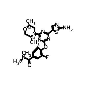 C[C@H]1CN(c2nc(Oc3ccc(C(=O)N(C)C)cc3F)nc(-c3cnc(N)s3)n2)[C@@H](C)CO1